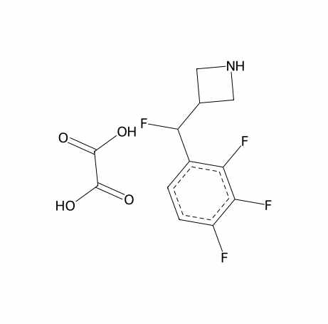 Fc1ccc(C(F)C2CNC2)c(F)c1F.O=C(O)C(=O)O